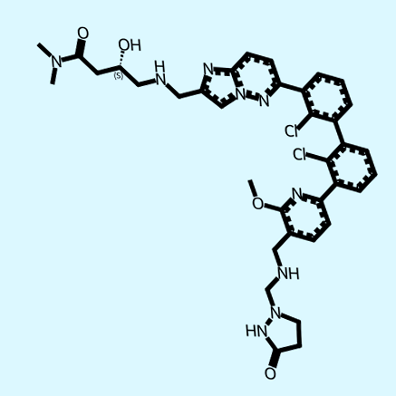 COc1nc(-c2cccc(-c3cccc(-c4ccc5nc(CNC[C@@H](O)CC(=O)N(C)C)cn5n4)c3Cl)c2Cl)ccc1CNCN1CCC(=O)N1